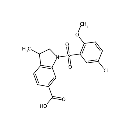 COc1ccc(Cl)cc1S(=O)(=O)N1CC(C)c2ccc(C(=O)O)cc21